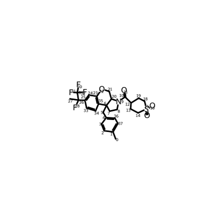 Cc1ccc(CC23CCN(C(=O)C4CCS(=O)(=O)CC4)C2COc2cc(C(C)(F)C(F)(F)F)ccc23)cc1